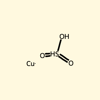 O=[SH](=O)O.[Cu]